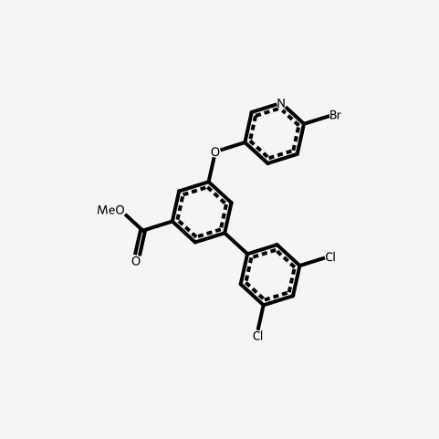 COC(=O)c1cc(Oc2ccc(Br)nc2)cc(-c2cc(Cl)cc(Cl)c2)c1